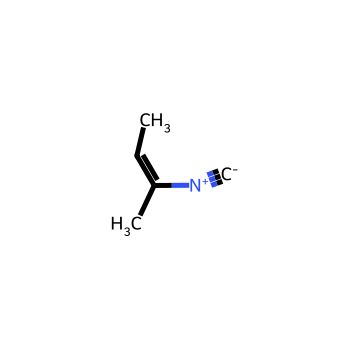 [C-]#[N+]C(C)=CC